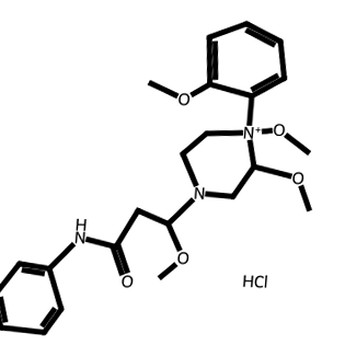 COc1ccccc1[N+]1(OC)CCN(C(CC(=O)Nc2ccccc2)OC)CC1OC.Cl